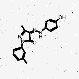 CC1=NN(c2cccc(C)c2)C(=O)C1=NNc1ccc(O)cc1